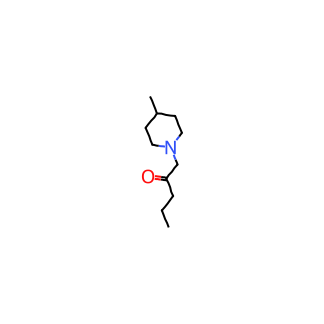 CCCC(=O)CN1CCC(C)CC1